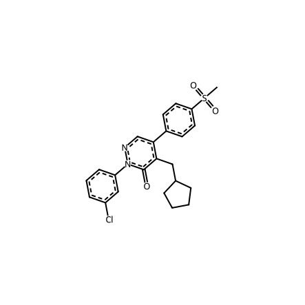 CS(=O)(=O)c1ccc(-c2cnn(-c3cccc(Cl)c3)c(=O)c2CC2CCCC2)cc1